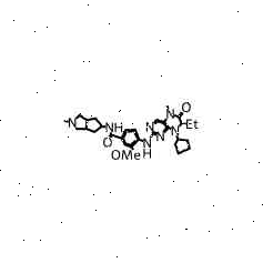 CC[C@@H]1C(=O)N(C)c2cnc(Nc3ccc(C(=O)NC4CC5CN(C)CC5C4)cc3OC)nc2N1C1CCCC1